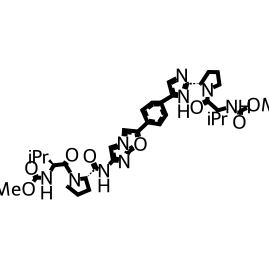 COC(=O)N[C@H](C(=O)N1CCC[C@H]1C(=O)Nc1cn2cc(-c3ccc(-c4cnc([C@@H]5CCCN5C(=O)[C@@H](NC(=O)OC)C(C)C)[nH]4)cc3)oc2n1)C(C)C